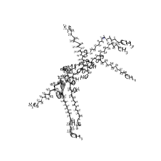 CCCCCC/C=C\CCCCCCCC(=O)OC(CCCCCCCCCCC)CC(=O)N[C@H]1C(OC(=O)CC(CCCCCCCCCCC)OC(=O)CCCCCCCCCCC)C(O)C(CO)O[C@H]1OCC1OC(OP(=O)(O)O)[C@@H](NC(=O)CC(CCCCCCCCCCC)OC(=O)CCCCCCCCCCCCCCC)C(OC(=O)CC(O)CCCCCCCCCCC)[C@@H]1O